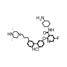 C[C@@H]1CN(CCCc2cccc(-c3cccc(Oc4ncc(F)cc4C(=O)N[C@H]4CC[C@H](N)CC4)c3)c2)C[C@H](C)N1.Cl